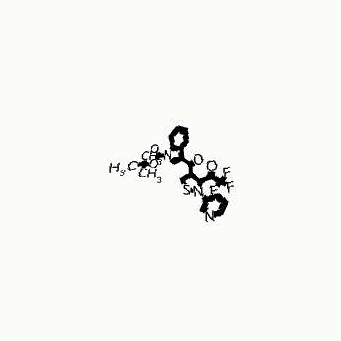 CC(C)(C)OC(=O)n1cc(C(=O)C2CSN(c3cccnc3)C2C(=O)C(F)(F)F)c2ccccc21